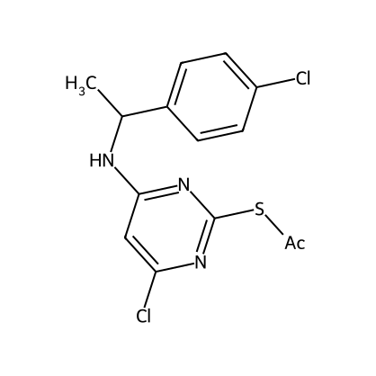 CC(=O)Sc1nc(Cl)cc(NC(C)c2ccc(Cl)cc2)n1